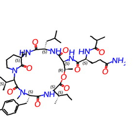 CC[C@H](C)C1C(=O)N(C)[C@@H](Cc2ccc(O)cc2)C(=O)N[C@@H]([C@@H](C)CC)C(=O)O[C@H](C)[C@H](NC(=O)[C@H](CCC(N)=O)NC(=O)C(C)C)C(=O)N[C@@H](CC(C)C)C(=O)N[C@H]2CCCN1C2=O